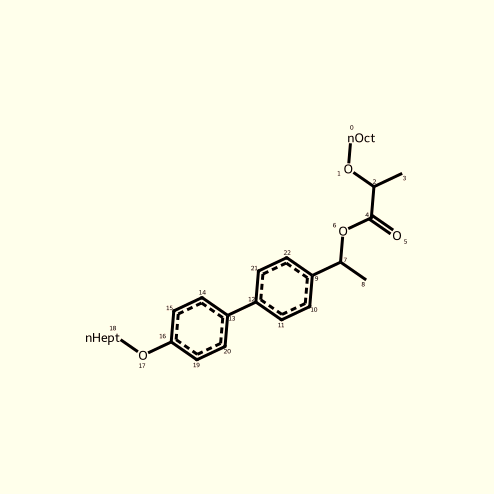 CCCCCCCCOC(C)C(=O)OC(C)c1ccc(-c2ccc(OCCCCCCC)cc2)cc1